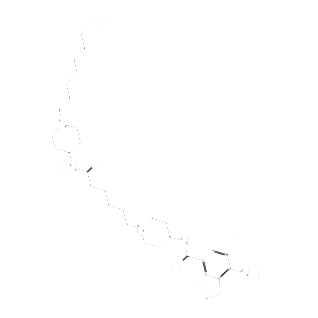 Nc1c(Cl)cc(C(=O)NC2CCN(CCCCCC(=O)NC3CCN(CCCCCCCC(=O)O)CC3)CC2)c2c1CCO2